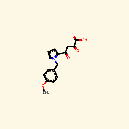 COc1ccc(Cn2cccc2C(=O)CC(=O)C(=O)O)cc1